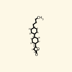 CCCCC1CCC(C2CCC(C3CC(=O)O3)CC2)CC1